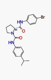 CC(C)c1ccc(NC(=O)N2CCC[C@@H]2C(=O)Nc2ccc(Br)cc2)cc1